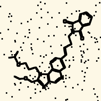 CCOCc1nc2cnc3cc(/C=C/CCN4C(=O)c5ccccc5C4=O)ccc3c2n1CCCOC(C)C